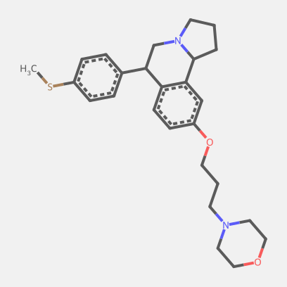 CSc1ccc(C2CN3CCCC3c3cc(OCCCN4CCOCC4)ccc32)cc1